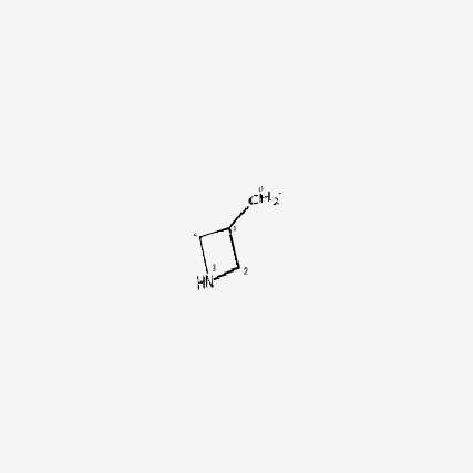 [CH2]C1CNC1